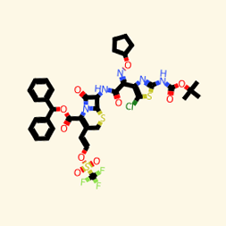 CC(C)(C)OC(=O)Nc1nc(C(=NOC2CCCC2)C(=O)NC2C(=O)N3C(C(=O)OC(c4ccccc4)c4ccccc4)=C(/C=C/OS(=O)(=O)C(F)(F)F)CSC23)c(Cl)s1